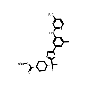 CCCCOC(=O)[C@H]1CC[C@H](C(C)(F)c2ncc(-c3cc(C)cc(Nc4nccc(C(F)(F)F)n4)c3)s2)CC1